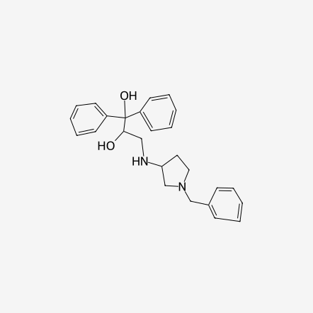 OC(CNC1CCN(Cc2ccccc2)C1)C(O)(c1ccccc1)c1ccccc1